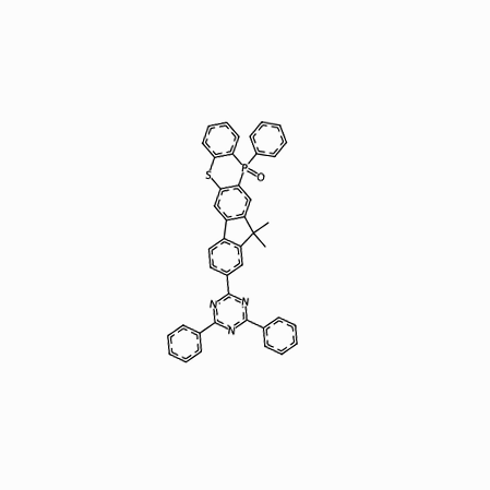 CC1(C)c2cc(-c3nc(-c4ccccc4)nc(-c4ccccc4)n3)ccc2-c2cc3c(cc21)P(=O)(c1ccccc1)c1ccccc1S3